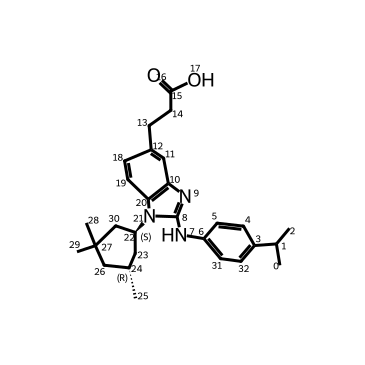 CC(C)c1ccc(Nc2nc3cc(CCC(=O)O)ccc3n2[C@H]2C[C@H](C)CC(C)(C)C2)cc1